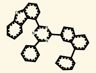 c1ccc(-c2nc(-c3ccc4cccc(-c5ccccc5)c4c3)nc(-c3cccc4oc5ccccc5c34)n2)cc1